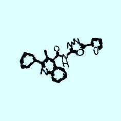 Cc1c(-c2ccccc2)nc2ccccc2c1C(=O)Nc1nnc(-c2ccco2)o1